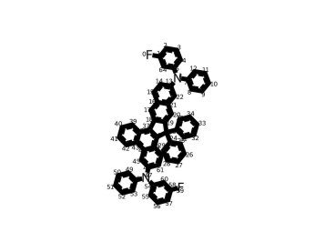 Fc1cccc(N(c2ccccc2)c2ccc3cc4c(cc3c2)C(c2ccccc2)(c2ccccc2)c2c-4c3ccccc3c3cc(N(c4ccccc4)c4cccc(F)c4)ccc23)c1